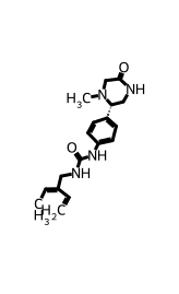 C=C/C(=C\C)CNC(=O)Nc1ccc([C@H]2CNC(=O)CN2C)cc1